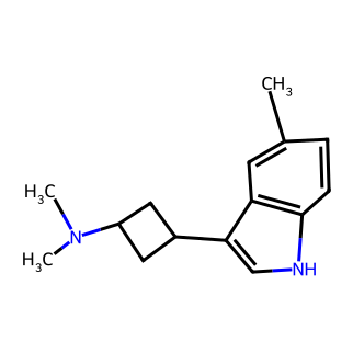 Cc1ccc2[nH]cc(C3CC(N(C)C)C3)c2c1